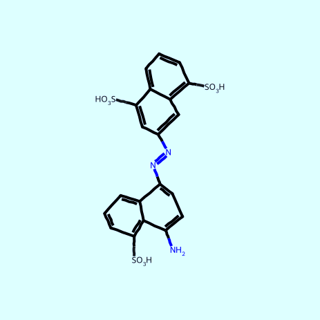 Nc1ccc(N=Nc2cc(S(=O)(=O)O)c3cccc(S(=O)(=O)O)c3c2)c2cccc(S(=O)(=O)O)c12